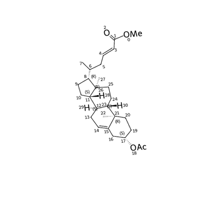 COC(=O)C=CCC(C)[C@H]1CC[C@H]2[C@@H]3CC=C4C[C@@H](OC(C)=O)CC[C@]4(C)[C@H]3CC[C@]12C